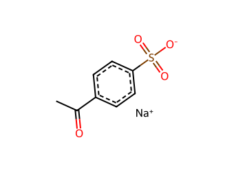 CC(=O)c1ccc(S(=O)(=O)[O-])cc1.[Na+]